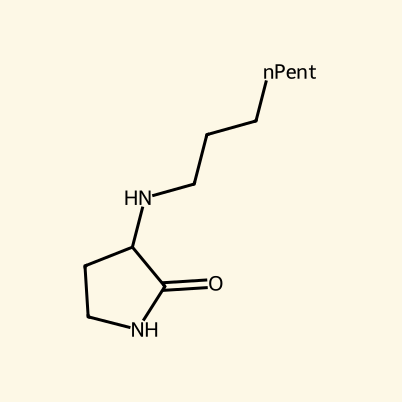 CCCCCCCCNC1CCNC1=O